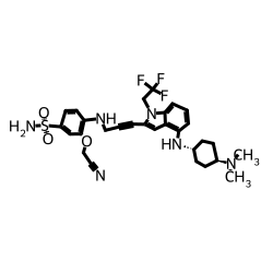 CN(C)[C@H]1CC[C@H](Nc2cccc3c2cc(C#CCNc2ccc(S(N)(=O)=O)cc2OCC#N)n3CC(F)(F)F)CC1